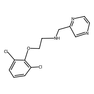 Clc1cccc(Cl)c1OCCNCc1cnccn1